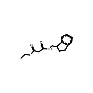 CCOC(=O)CC(=O)NCC1CCc2ccccc21